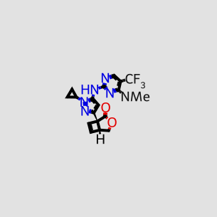 CNc1nc(Nc2cc([C@]34C=C[C@H]3COC4=O)nn2C2CC2)ncc1C(F)(F)F